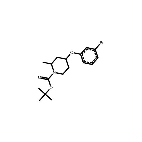 CC1CC(Oc2cccc(Br)c2)CCN1C(=O)OC(C)(C)C